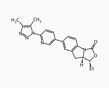 CC[C@@H]1OC(=O)N2c3ccc(-c4ccc(-n5nnc(C)c5C)nc4)cc3C[C@@H]12